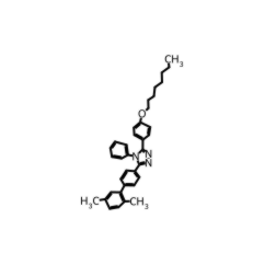 CCCCCCCCOc1ccc(-c2nnc(-c3ccc(-c4cc(C)ccc4C)cc3)n2-c2ccccc2)cc1